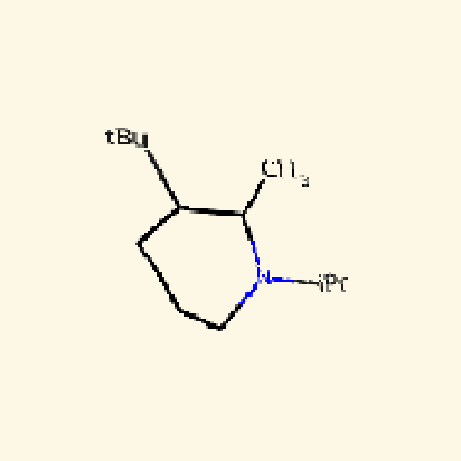 CC(C)N1CCCC(C(C)(C)C)C1C